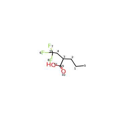 CCCC(CC(F)(F)F)C(=O)O